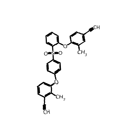 C#Cc1ccc(Oc2ccccc2S(=O)(=O)c2ccc(Oc3cccc(C#C)c3C)cc2)c(C)c1